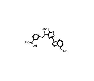 COc1nnc(-n2ncc3c(CN)cccc32)nc1NCc1cccc(B(O)O)c1